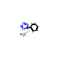 CSC1(c2ccccc2)N=NN=N1